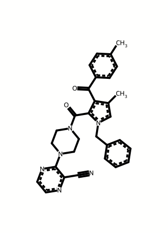 Cc1ccc(C(=O)c2c(C)cn(Cc3ccccc3)c2C(=O)N2CCN(c3nccnc3C#N)CC2)cc1